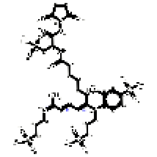 CC(/C=C/C=C(\CCCCCC(=O)NC(CS(=O)(=O)O)C(=O)ON1C(=O)CCC1=O)N(CCCS(=O)(=O)O)c1ccc(S(=O)(=O)O)cc1C)=N/CCCS(=O)(=O)O